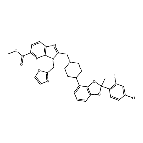 COC(=O)c1ccc2nc(CN3CCC(c4cccc5c4OC(C)(c4ccc(Cl)cc4F)O5)CC3)n(Cc3ncco3)c2n1